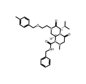 Cc1ccc(COCCN2C[C@H]3N(C(=O)CN(C)N3C(=O)NCc3ccccc3)[C@@H](C(C)C)C2=O)cc1